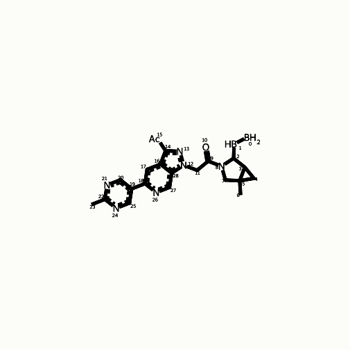 BBC1C2CC2(C)CN1C(=O)Cn1nc(C(C)=O)c2cc(-c3cnc(C)nc3)ncc21